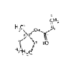 C=CC(=O)O[N+](C)(CC)CC